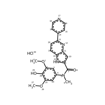 COc1cc(N(C)C(=O)c2cc3nc(-c4ccncc4)ccc3[nH]2)cc(OC)c1O.Cl